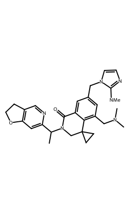 CNc1nccn1Cc1cc(CN(C)C)c2c(c1)C(=O)N(C(C)c1cc3c(cn1)CCO3)CC21CC1